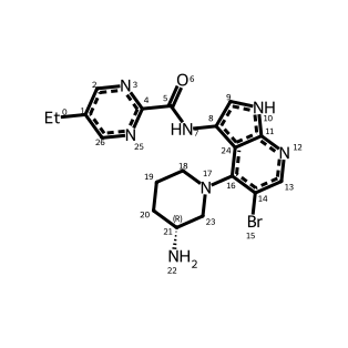 CCc1cnc(C(=O)Nc2c[nH]c3ncc(Br)c(N4CCC[C@@H](N)C4)c23)nc1